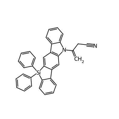 C=C(CC#N)n1c2ccccc2c2cc3c(cc21)-c1ccccc1[Si]3(c1ccccc1)c1ccccc1